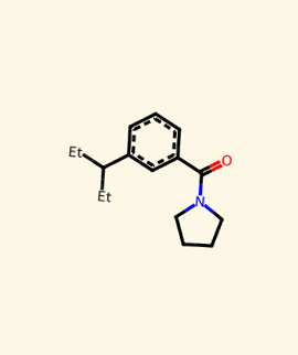 CCC(CC)c1cccc(C(=O)N2CCCC2)c1